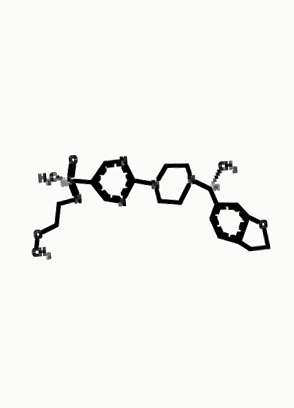 COCCN=[S@@](C)(=O)c1cnc(N2CCN([C@H](C)c3ccc4c(c3)OCC4)CC2)nc1